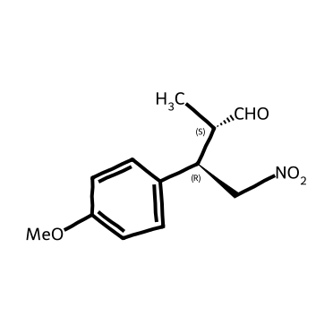 COc1ccc([C@H](C[N+](=O)[O-])[C@H](C)C=O)cc1